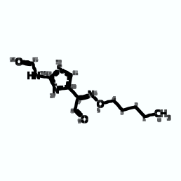 CCCCCON=C(C=O)c1csc(NC=O)n1